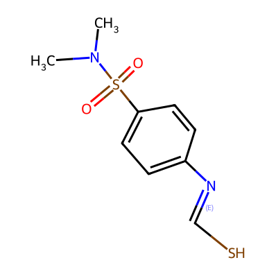 CN(C)S(=O)(=O)c1ccc(/N=C/S)cc1